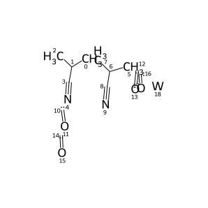 CC(C)C#N.CC(C)C#N.[C]=O.[C]=O.[C]=O.[C]=O.[W]